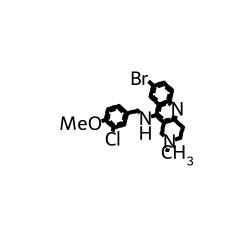 COc1ccc(CNc2c3c(nc4ccc(Br)cc24)CCN(C)C3)cc1Cl